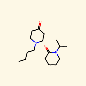 CC(C)N1CCCCC1=O.CCCCN1CCC(=O)CC1